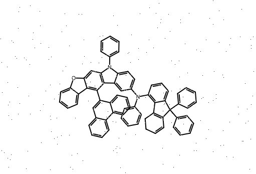 C1=CC2=C(CC1)c1c(N(c3ccccc3)c3ccc4c(c3)c3c(-c5cc6ccccc6c6ccccc56)c5c(cc3n4-c3ccccc3)oc3ccccc35)cccc1C2(c1ccccc1)c1ccccc1